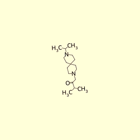 CC(C)C(=O)CN1CCC2(CC1)CCN(C(C)C)CC2